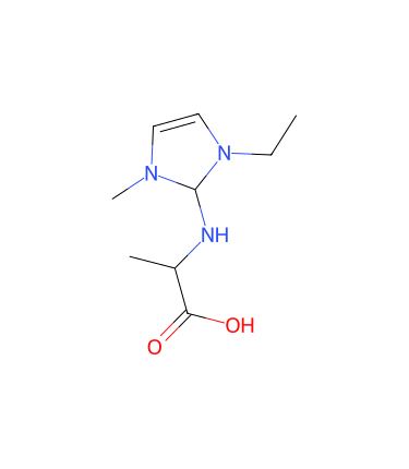 CCN1C=CN(C)C1NC(C)C(=O)O